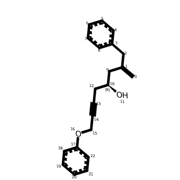 C=C(Cc1ccccc1)C[C@@H](O)CC#CCOc1ccccc1